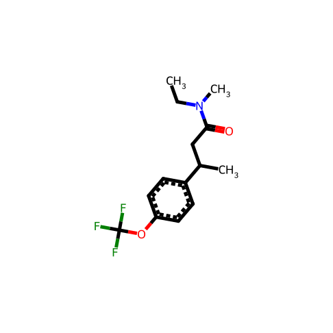 CCN(C)C(=O)CC(C)c1ccc(OC(F)(F)F)cc1